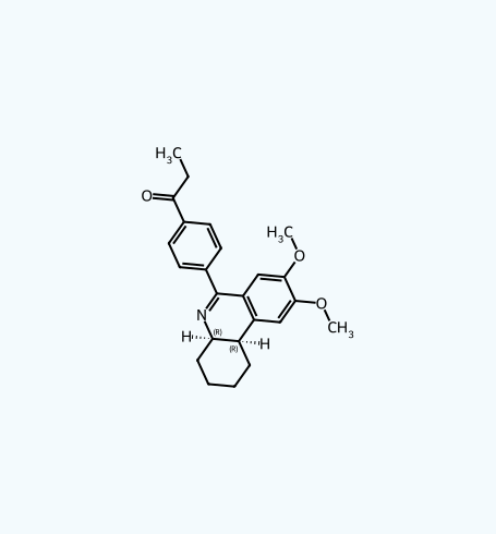 CCC(=O)c1ccc(C2=N[C@@H]3CCCC[C@@H]3c3cc(OC)c(OC)cc32)cc1